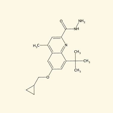 Cc1cc(C(=O)NN)nc2c(C(C)(C)C)cc(OCC3CC3)cc12